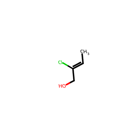 CC=C(Cl)CO